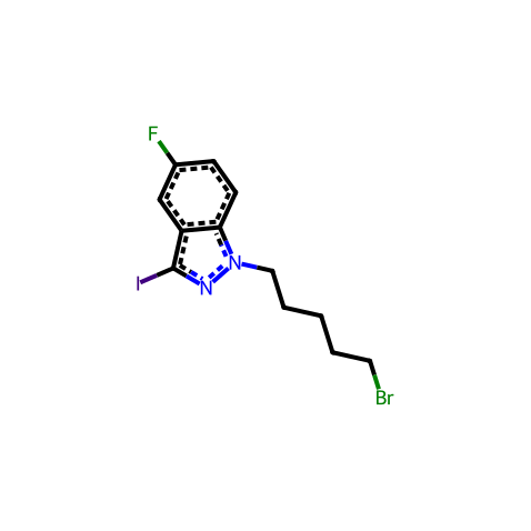 Fc1ccc2c(c1)c(I)nn2CCCCCBr